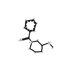 COC1CCCN(C(=O)c2ccccc2)C1